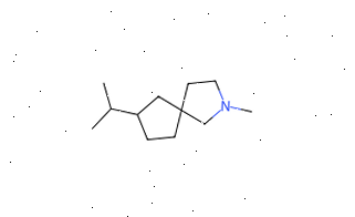 CC(C)C1CCC2(CCN(C)C2)C1